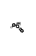 Cl.Cl.NC[C@]1(c2cccc(Cl)c2)CC[C@@H](N2Cc3ccccc3C2)CC1